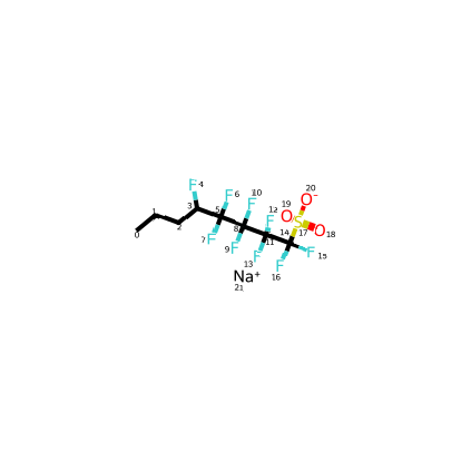 CCCC(F)C(F)(F)C(F)(F)C(F)(F)C(F)(F)S(=O)(=O)[O-].[Na+]